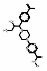 C=C(C)c1ccc(C(C(O)CO)N2CCN(c3ncc(C(=O)NO)cn3)CC2)cc1